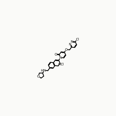 Cl.O=c1cc(OCc2ccc(Cl)nn2)ccn1C1=Cc2ccc(CNC3CCOC3)cc2CC1